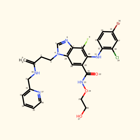 C=C(CCn1cnc2c(F)c(Nc3ccc(Br)cc3Cl)c(C(=O)NOCCO)cc21)NCc1ccccn1